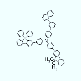 CC1(C)c2ccccc2-c2ccc(-c3ccc(N(c4ccc(-c5cccc(-c6cccc7ccccc67)c5)cc4)c4ccc(-c5ccc6c(c5)C(c5ccccc5)(c5ccccc5)c5ccccc5-6)cc4)cc3)cc21